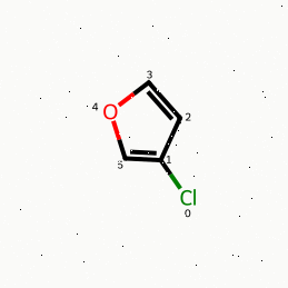 Clc1[c]coc1